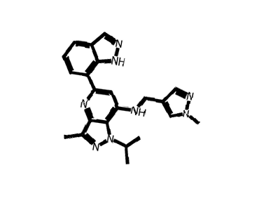 Cc1nn(C(C)C)c2c(NCc3cnn(C)c3)cc(-c3cccc4cn[nH]c34)nc12